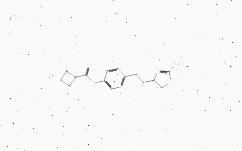 NC1=NC(CCc2ccc(NC(=O)C3CCC3)cc2)CO1